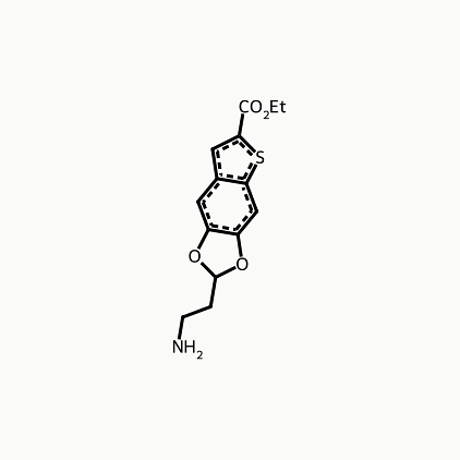 CCOC(=O)c1cc2cc3c(cc2s1)OC(CCN)O3